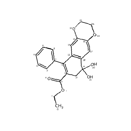 CCOC(=O)C1=C(c2ccccc2)c2cc3c(cc2C(O)(O)C1)OCCO3